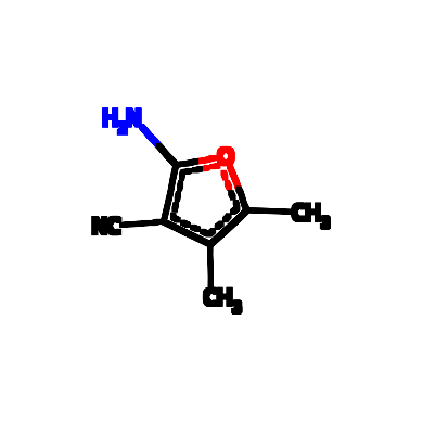 Cc1oc(N)c(C#N)c1C